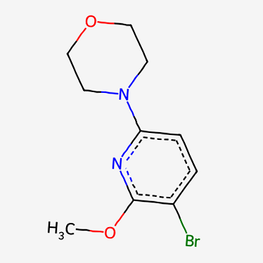 COc1nc(N2CCOCC2)ccc1Br